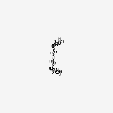 O=C(/C=C/c1cccc2c1CN(C1CCC(=O)NC1=O)C2=O)NCCOCCNC(=O)/C=C/c1cccc2c1CN(C1CCC(=O)NC1=O)C2=O